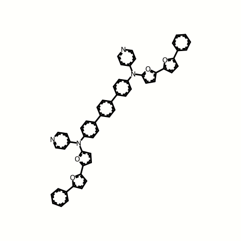 c1ccc(-c2ccc(-c3ccc(N(c4ccncc4)c4ccc(-c5ccc(-c6ccc(N(c7ccncc7)c7ccc(-c8ccc(-c9ccccc9)o8)o7)cc6)cc5)cc4)o3)o2)cc1